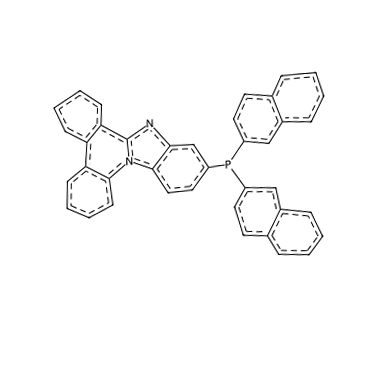 c1ccc2cc(P(c3ccc4ccccc4c3)c3ccc4c(c3)nc3c5ccccc5c5ccccc5n43)ccc2c1